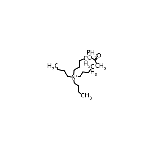 CC(=O)OP.CCCC[N+](CCCC)(CCCC)CCCC